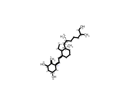 C=C1/C(=C\C=C2CCC[C@@]3(C)C2CC[C@@H]3[C@H](C)CCCC(C)CO)C[C@@H](O)CC1O